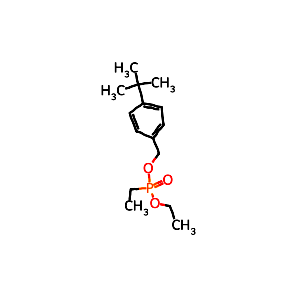 CCOP(=O)(CC)OCc1ccc(C(C)(C)C)cc1